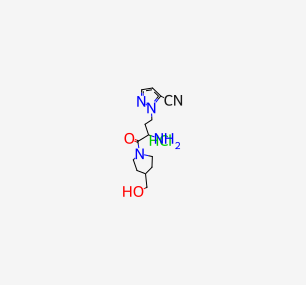 Cl.N#Cc1ccnn1CCC(N)C(=O)N1CCC(CO)CC1